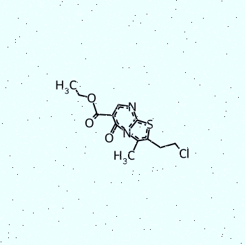 CCOC(=O)c1cnc2sc(CCCl)c(C)n2c1=O